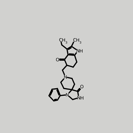 CCc1c(C)[nH]c2c1C(=O)C(CN1CCC3(CC1)C(=O)NCN3c1ccccc1)CC2